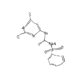 O=C(Nc1nc(Cl)nc(Cl)n1)NS(=O)(=O)c1ccccc1